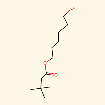 CC(C)(C)CC(=O)OCCCCCC[O]